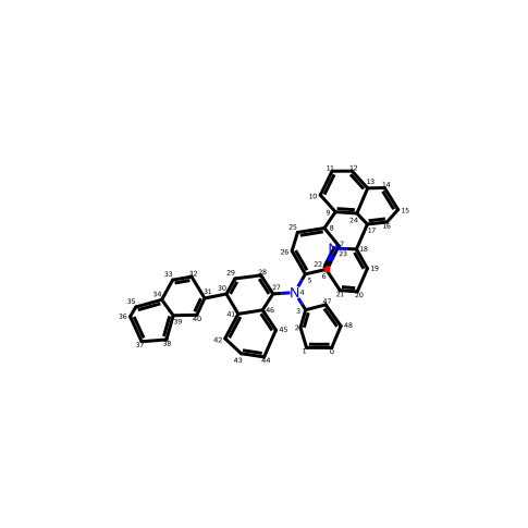 c1ccc(N(c2ccc(-c3cccc4cccc(-c5ccccn5)c34)cc2)c2ccc(-c3ccc4ccccc4c3)c3ccccc23)cc1